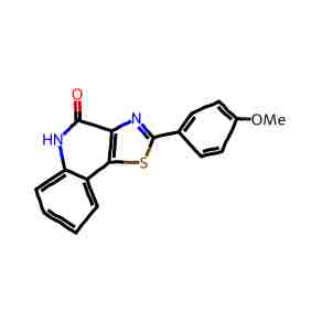 COc1ccc(-c2nc3c(=O)[nH]c4ccccc4c3s2)cc1